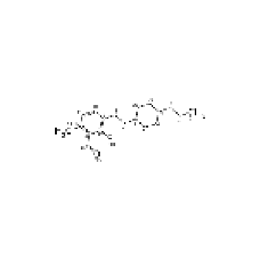 CCCC1CCC(CCc2ccc(C)c(C=O)c2F)CC1